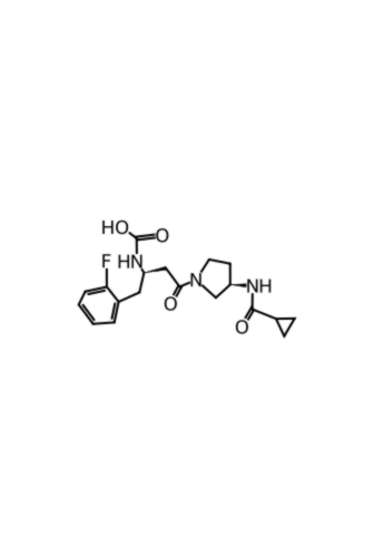 O=C(O)N[C@@H](CC(=O)N1CC[C@@H](NC(=O)C2CC2)C1)Cc1ccccc1F